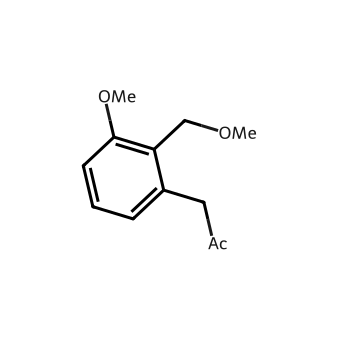 COCc1c(CC(C)=O)cccc1OC